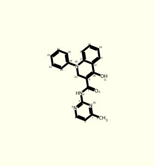 Cc1ccnc(NC(=O)C2=C(O)c3ccccc3N(c3ccccc3)C2)n1